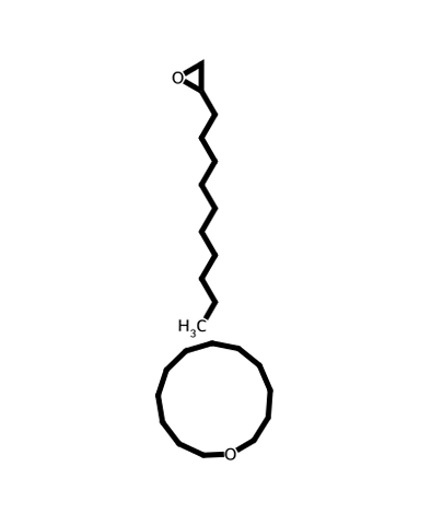 C1CCCCCCOCCCCC1.CCCCCCCCCCC1CO1